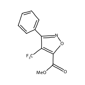 COC(=O)c1onc(-c2ccccc2)c1C(F)(F)F